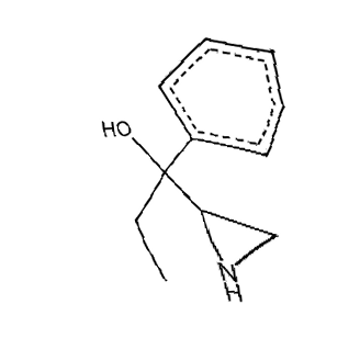 CCC(O)(c1ccccc1)C1CN1